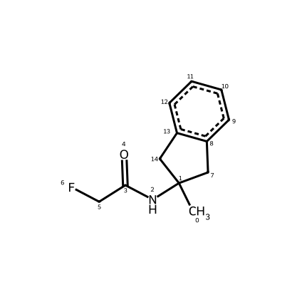 CC1(NC(=O)CF)Cc2ccccc2C1